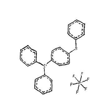 F[P-](F)(F)(F)(F)F.c1ccc(Sc2ccc([S+](c3ccccc3)c3ccccc3)cc2)cc1